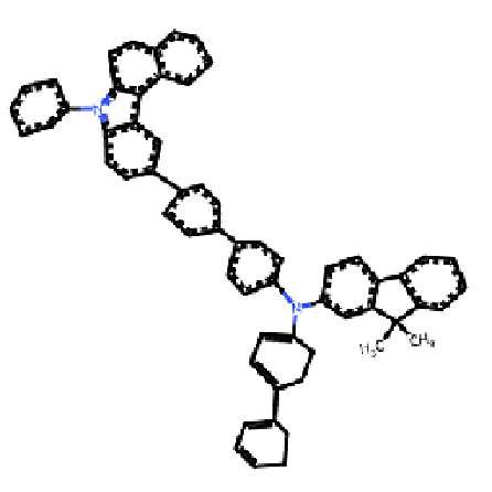 CC1(C)c2ccccc2-c2ccc(N(C3=CC=C(C4=CC=CCC4)CC3)c3ccc(-c4ccc(-c5ccc6c(c5)c5c7ccccc7ccc5n6-c5ccccc5)cc4)cc3)cc21